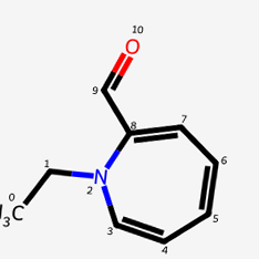 CCN1C=CC=CC=C1C=O